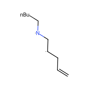 C=CC[CH]C[N]CCCCC